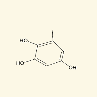 Cc1cc(O)cc(O)c1O